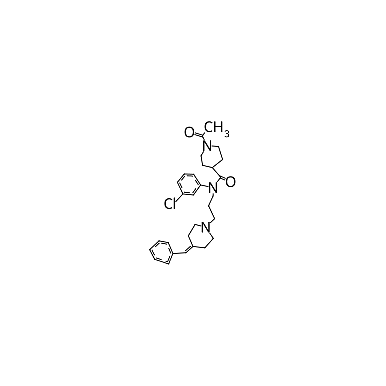 CC(=O)N1CCC(C(=O)N(CCCN2CCC(=Cc3ccccc3)CC2)c2cccc(Cl)c2)CC1